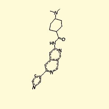 CN(C)C1CCC(C(=O)Nc2cc3cc(-c4cncs4)ncc3cn2)CC1